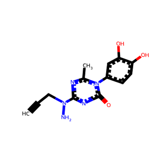 C#CCN(N)c1nc(C)n(-c2ccc(O)c(O)c2)c(=O)n1